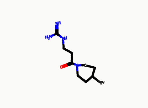 CC(C)C1CCN(C(=O)CCNC(=N)N)CC1